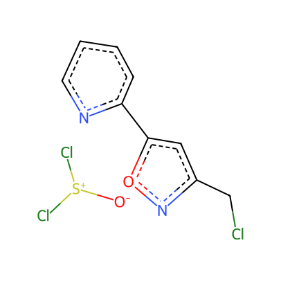 ClCc1cc(-c2ccccn2)on1.[O-][S+](Cl)Cl